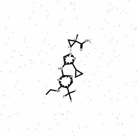 CCNc1nc(Nc2cn([C@@H]3C[C@]3(C)C(N)=O)nc2C2CC2)ncc1C(F)(F)F